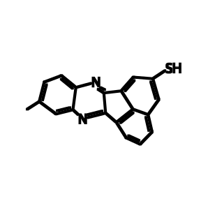 Cc1ccc2nc3c(nc2c1)-c1cccc2cc(S)cc-3c12